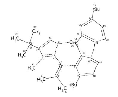 CC1=[C]([Zr](=[C](C)C)[c]2c(C(C)(C)C)ccc3c2Cc2cc(C(C)(C)C)ccc2-3)C(C)C=C1[Si](C)(C)C